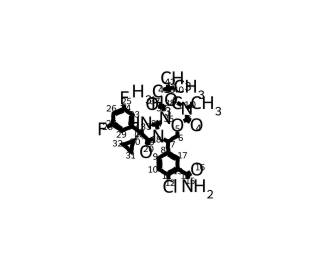 CN(C)C(=O)OCC(c1ccc(Cl)c(C(N)=O)c1)N1C(=O)[C@](c2cc(F)cc(F)c2)(C2CC2)NC1=NC(=O)OC(C)(C)C